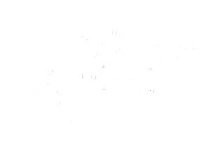 COC(=O)c1cncc(OCC(Cc2c(C)n(C(=O)O)c3ccccc23)NC(=O)OC(C)(C)C)c1